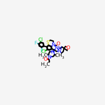 C=CC(=O)N1C[C@H](C)N(C2(CN3CCC4(CC3)COC4)NC(=O)N3CCSc4c(-c5cc(Cl)c(F)cc5F)c(Cl)cc2c43)C[C@H]1C